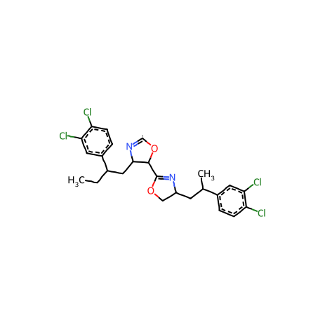 CCC(CC1N=[C]OC1C1=NC(CC(C)c2ccc(Cl)c(Cl)c2)CO1)c1ccc(Cl)c(Cl)c1